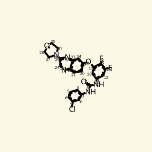 O=C(Nc1cccc(Cl)c1)Nc1cc(F)c(F)c(Oc2ccc3ncc(N4CCOCC4)nc3c2)c1